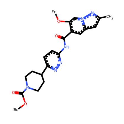 CCOc1cn2nc(C)cc2cc1C(=O)Nc1ccc(C2CCN(C(=O)OC(C)(C)C)CC2)nn1